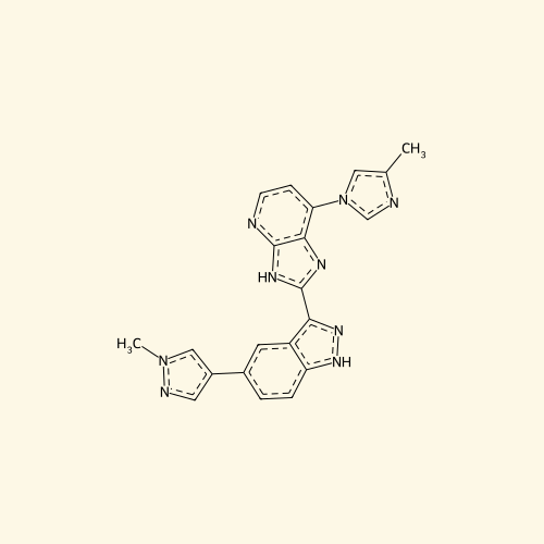 Cc1cn(-c2ccnc3[nH]c(-c4n[nH]c5ccc(-c6cnn(C)c6)cc45)nc23)cn1